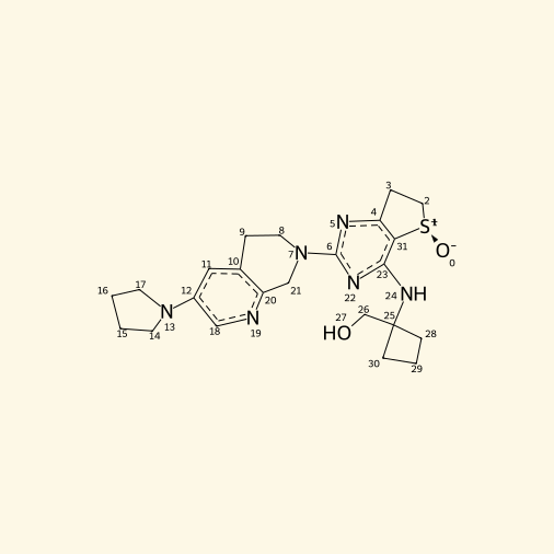 [O-][S@+]1CCc2nc(N3CCc4cc(N5CCCC5)cnc4C3)nc(NC3(CO)CCC3)c21